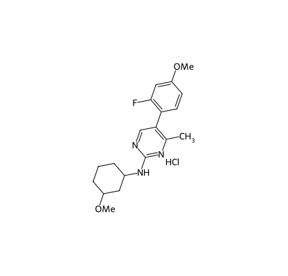 COc1ccc(-c2cnc(NC3CCCC(OC)C3)nc2C)c(F)c1.Cl